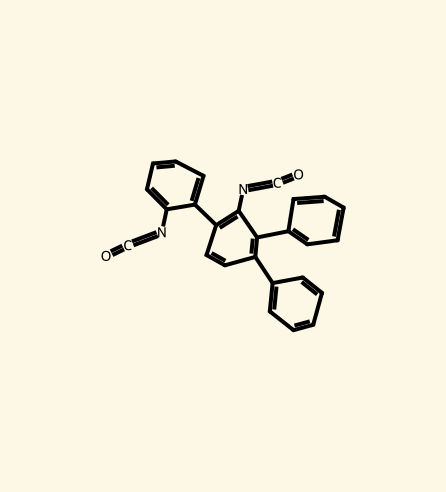 O=C=Nc1ccccc1-c1ccc(-c2ccccc2)c(-c2ccccc2)c1N=C=O